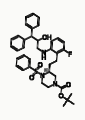 CC(C)(C)OC(=O)N1CCN(S(=O)(=O)c2ccccc2)[C@@H](CCc2c(F)cccc2NCC(O)C(c2ccccc2)c2ccccc2)C1